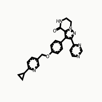 O=C1NCCn2nc(-c3ccncn3)c(-c3ccc(OCc4ccc(C5CC5)nc4)cc3)c21